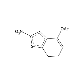 CC(=O)OC1=CCCc2sc([N+](=O)[O-])cc21